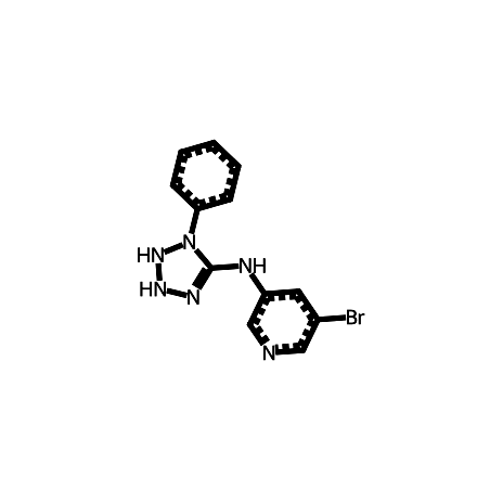 Brc1cncc(NC2=NNNN2c2ccccc2)c1